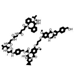 COc1cc2c(cc1OCCCOc1cc3c(cc1OC)C(=O)N1CC4(CC4)C[C@H]1C(O)N3C(=O)OCc1ccc(NC(=O)[C@H](C)NC(=O)[C@@H](NC(=O)CNC(=O)CNC(=O)CCC(=O)N3Cc4ccccc4C4=C(c5ccccc53)N(C(C)C)NN4)C(C)C)cc1)NC[C@@H]1CC(c3ccc(CO)cc3)=CN1C2=O